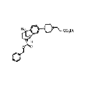 CCOC(=O)CCN1CCN(c2ccc3c(c2)[C@@H]2C[C@H]3CCN2C(=O)OCc2ccccc2)CC1